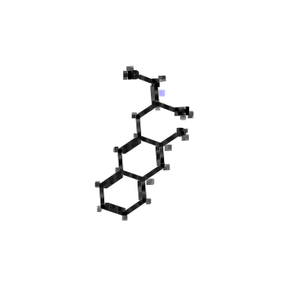 N/C(Cc1cc2ccccc2cc1Br)=N/O